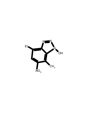 CCc1cc([N+](=O)[O-])c(C)c2c1nnn2O